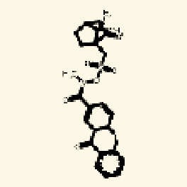 CN(OS(=O)(=O)CC12CCC(CC1=O)C2(C)C)C(=O)C1=CC2C(=O)c3ccccc3OC2C=C1